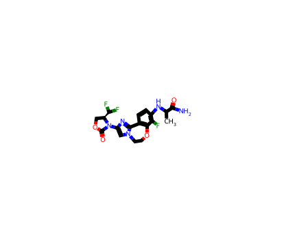 CC(Nc1ccc2c(c1F)OCCn1cc(N3C(=O)OC[C@H]3C(F)F)nc1-2)C(N)=O